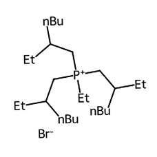 CCCCC(CC)C[P+](CC)(CC(CC)CCCC)CC(CC)CCCC.[Br-]